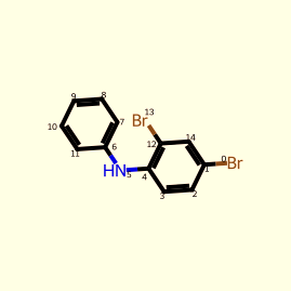 Brc1ccc(Nc2ccccc2)c(Br)c1